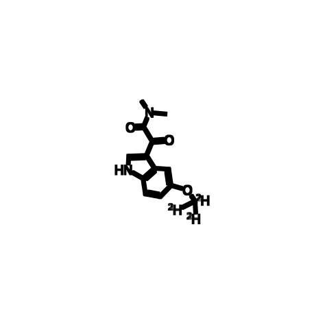 [2H]C([2H])([2H])Oc1ccc2[nH]cc(C(=O)C(=O)N(C)C)c2c1